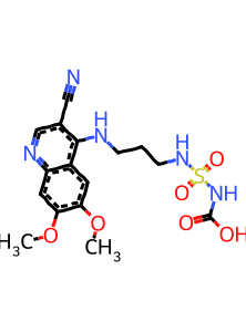 COc1cc2ncc(C#N)c(NCCCNS(=O)(=O)NC(=O)O)c2cc1OC